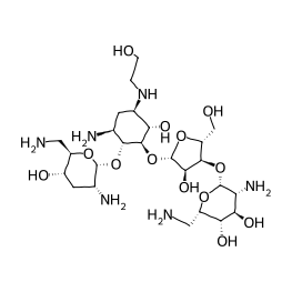 NC[C@@H]1O[C@H](O[C@H]2[C@@H](O)[C@H](O[C@@H]3[C@@H](O)[C@H](NCCO)C[C@H](N)[C@H]3O[C@H]3O[C@H](CN)[C@@H](O)C[C@H]3N)O[C@@H]2CO)[C@H](N)[C@@H](O)[C@@H]1O